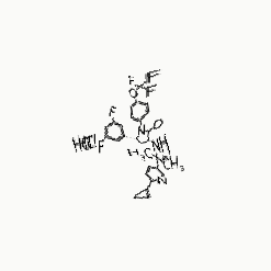 CC(C)(N[C@@H]1C[C@H](c2cc(F)cc(F)c2)N(c2ccc(OC(F)(F)F)cc2)C1=O)c1ccc(C2CC2)nc1.Cl.Cl